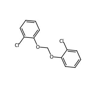 Clc1ccccc1OCOc1ccccc1Cl